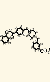 O=C(O)c1cccc(CN2CCN(Cc3ccc(C4COc5ccccc5O4)cc3)CC2)c1